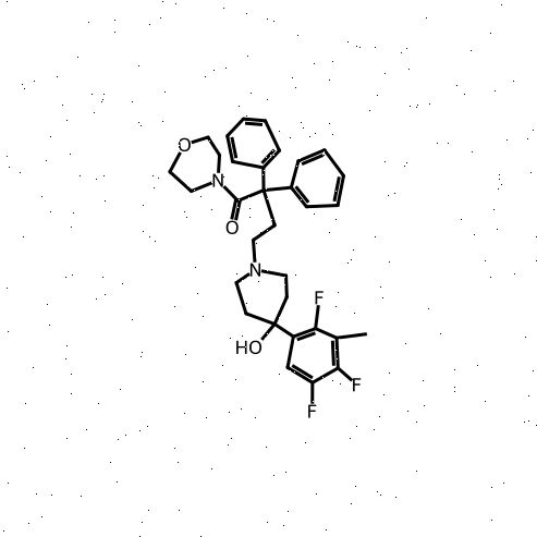 Cc1c(F)c(F)cc(C2(O)CCN(CCC(C(=O)N3CCOCC3)(c3ccccc3)c3ccccc3)CC2)c1F